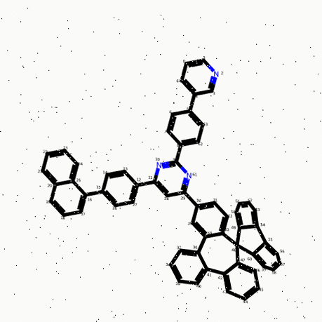 c1cncc(-c2ccc(-c3nc(-c4ccc(-c5cccc6ccccc56)cc4)cc(-c4ccc5c(c4)-c4ccccc4-c4ccccc4C54c5ccccc5-c5ccccc54)n3)cc2)c1